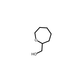 OCC1CCCCCO1